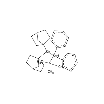 C[C](C)(C)[SbH]([c]1ccccc1)([c]1ccccc1)[Sb]([C]12CCC(CC1)C2)[C]12CCC(CC1)C2